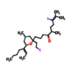 C/C=C(\CCCC)C1CC(C)CC(CCI)(CCCC(=O)C(C)CCC(I)=C(C)C)O1